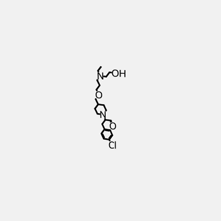 CCN(CCO)CCCOCC1CCN(C(C=O)Cc2ccc(Cl)cc2)CC1